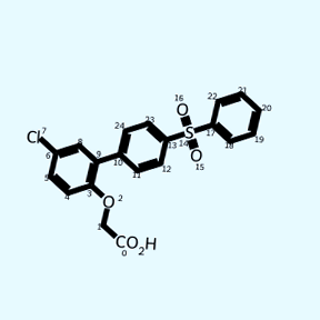 O=C(O)COc1ccc(Cl)cc1-c1ccc(S(=O)(=O)c2ccccc2)cc1